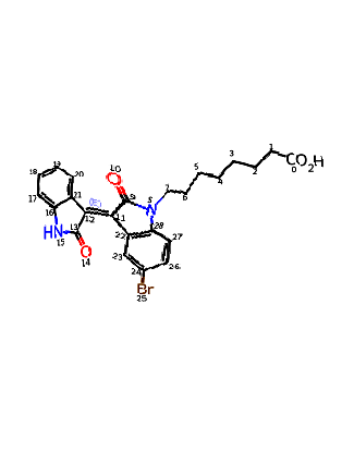 O=C(O)CCCCCCCN1C(=O)/C(=C2/C(=O)Nc3ccccc32)c2cc(Br)ccc21